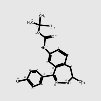 CC1Cc2ccc(NC(=O)OC(C)(C)C)cc2C(c2ccc(Cl)cc2)=NN1